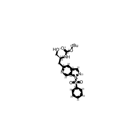 CC(C)(C)OC(=O)N[C@H](CO)Cc1cc2cnn(S(=O)(=O)c3ccccc3)c2cn1